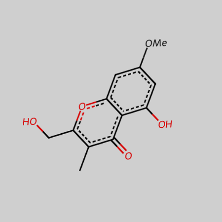 COc1cc(O)c2c(=O)c(C)c(CO)oc2c1